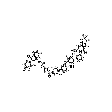 C[C@H]1CN(C(=O)[C@H]2C[C@H](OCCCc3cccc4c3CN(C3CCC(=O)NC3=O)C4=O)C2)CCN1c1ccc(Nc2cc(-c3ccnc(N4CCn5c(cc6c5CC(C)(C)C6)C4=O)c3CO)cn(C)c2=O)nc1